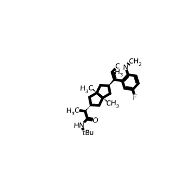 C=Nc1ccc(F)cc1/C(=C\C)[C@H]1C[C@@]2(C)C[C@H](C(C)C(=O)NC(C)(C)C)C[C@@]2(C)C1